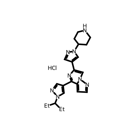 CCC(CC)n1cc(-c2nc(-c3cnn(C4CCNCC4)c3)cn3nccc23)cn1.Cl